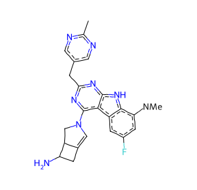 CNc1cc(F)cc2c1[nH]c1nc(Cc3cnc(C)nc3)nc(N3C=C4CC(N)C4C3)c12